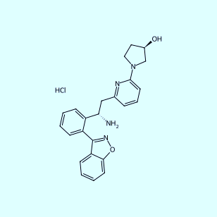 Cl.N[C@@H](Cc1cccc(N2CC[C@@H](O)C2)n1)c1ccccc1-c1noc2ccccc12